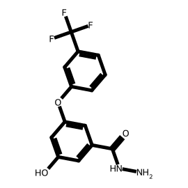 NNC(=O)c1cc(O)cc(Oc2cccc(C(F)(F)F)c2)c1